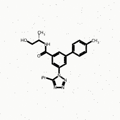 Cc1ccc(-c2cc(C(=O)N[C@@H](C)CO)cc(-n3nnnc3C(C)C)c2)cc1